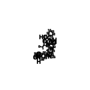 CCCCN1C(=O)[C@@H]([C@H](O)C2CCCCC2)NC(=O)C12CCN(Cc1c(C)nn(-c3ccc(NS(C)(=O)=O)cc3)c1C)CC2